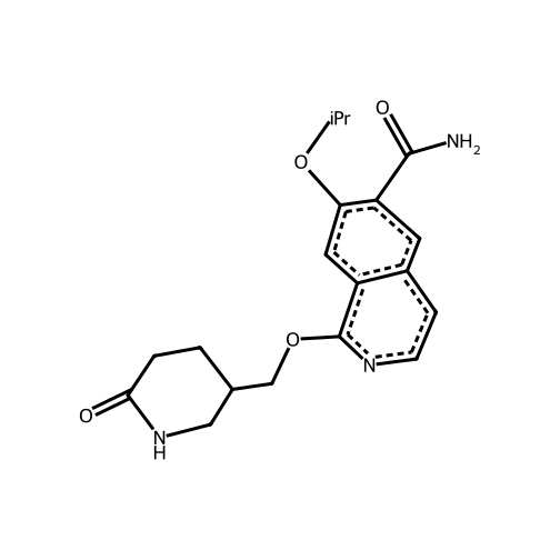 CC(C)Oc1cc2c(OCC3CCC(=O)NC3)nccc2cc1C(N)=O